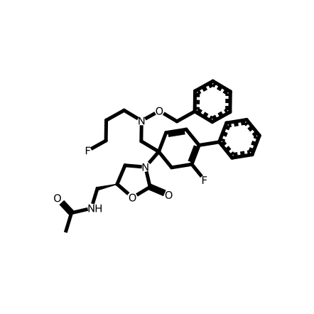 CC(=O)NC[C@H]1CN(C2(CN(CCCF)OCc3ccccc3)C=CC(c3ccccc3)=C(F)C2)C(=O)O1